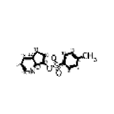 Cc1ccc(S(=O)(=O)OC2CCc3cccnc32)cc1